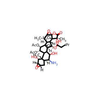 CC(=O)O[C@H]1C2C([C@@H](O)[C@@H](N)[C@H]3C[C@@H]4O[C@@H]4[C@H](O)[C@]23C)[C@@H]2[C@@H](OC(=O)CC(C)C)[C@@H]3[C@H]([C@H](C)[C@H]4O[C@]45OC(=O)[C@@](C)(O)[C@]35C)[C@@]2(C)[C@H]1OC(C)=O